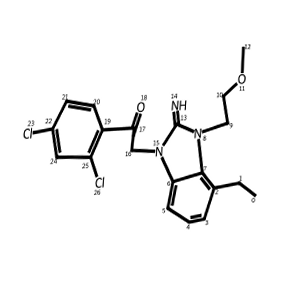 CCc1cccc2c1n(CCOC)c(=N)n2CC(=O)c1ccc(Cl)cc1Cl